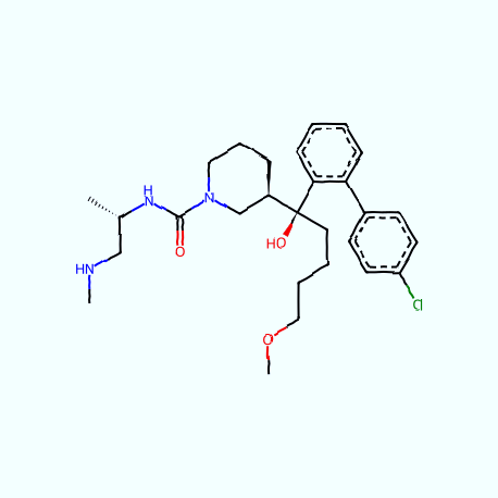 CNC[C@H](C)NC(=O)N1CCC[C@@H]([C@@](O)(CCCCOC)c2ccccc2-c2ccc(Cl)cc2)C1